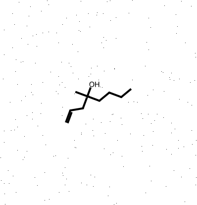 C=CCC(C)(O)CCCC